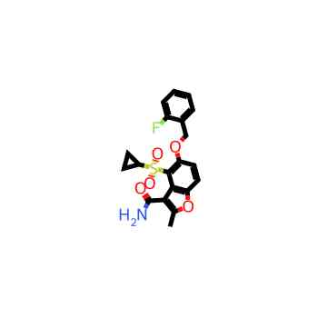 Cc1oc2ccc(OCc3ccccc3F)c(S(=O)(=O)C3CC3)c2c1C(N)=O